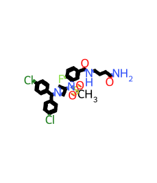 CS(=O)(=O)N(c1cc(C(=O)NCCCC(N)=O)ccc1F)C1CN(C(c2ccc(Cl)cc2)c2ccc(Cl)cc2)C1